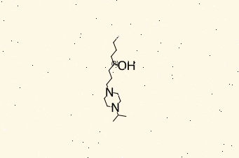 CCCC[C@@H](O)CCCN1CCN(C(C)C)CC1